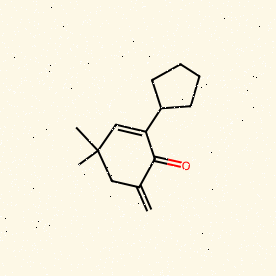 C=C1CC(C)(C)C=C(C2CCCC2)C1=O